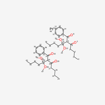 CCCCC(=O)C(C(=O)c1ccccc1)[Si](CCCC)(OC)OC.CCCCC(=O)C(C(=O)c1ccccc1)[Si](CCCC)(OC)OC.[Pt+2]